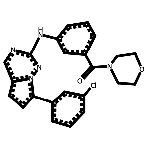 O=C(c1cccc(Nc2ncc3ccc(-c4cccc(Cl)c4)n3n2)c1)N1CCOCC1